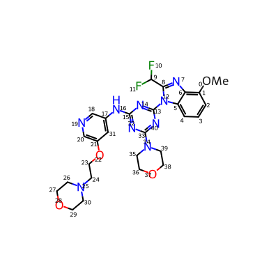 COc1cccc2c1nc(C(F)F)n2-c1nc(Nc2cncc(OCCN3CCOCC3)c2)nc(N2CCOCC2)n1